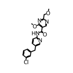 COCc1ncc(C(=O)Nc2ccc(Cc3cccc(Cl)c3)cn2)c(OC)n1